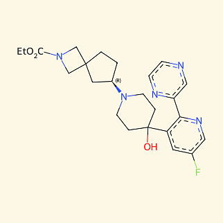 CCOC(=O)N1CC2(CC[C@@H](N3CCC(O)(c4cc(F)cnc4-c4cnccn4)CC3)C2)C1